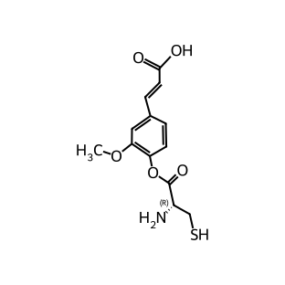 COc1cc(C=CC(=O)O)ccc1OC(=O)[C@@H](N)CS